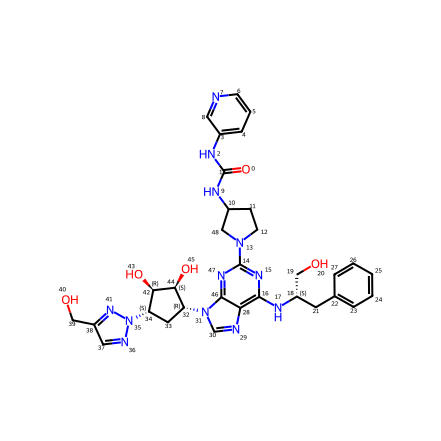 O=C(Nc1cccnc1)NC1CCN(c2nc(N[C@H](CO)Cc3ccccc3)c3ncn([C@@H]4C[C@H](n5ncc(CO)n5)[C@@H](O)[C@H]4O)c3n2)C1